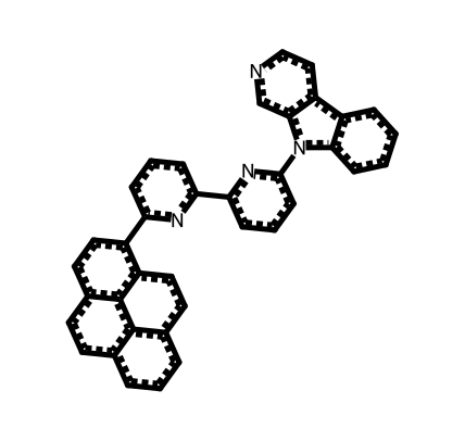 c1cc(-c2cccc(-n3c4ccccc4c4ccncc43)n2)nc(-c2ccc3ccc4cccc5ccc2c3c45)c1